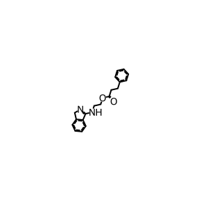 O=C(CCc1ccccc1)OCCNC1=NCc2ccccc21